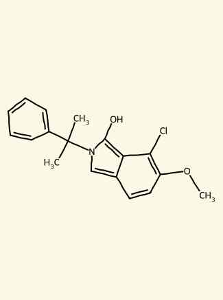 COc1ccc2cn(C(C)(C)c3ccccc3)c(O)c2c1Cl